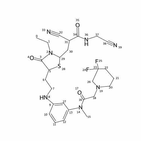 CCN1C(=O)C(CCNc2cccc(N(C)C(=O)CN3CCCC(F)(F)C3)c2)SC1CC(C#N)C(=O)NCC#N